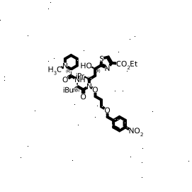 CCOC(=O)c1csc([C@H](O)C[C@H](C(C)C)N(OCCCOCc2ccc([N+](=O)[O-])cc2)C(=O)[C@@H](NC(=O)[C@H]2CCCCN2C)[C@@H](C)CC)n1